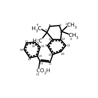 CC1(C)CCC(C)(C)c2cc(C=C(C(=O)O)c3ccccc3)ccc21